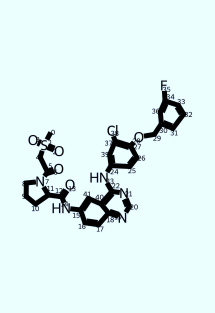 CS(=O)(=O)CC(=O)N1CCCC1C(=O)Nc1ccc2ncnc(Nc3ccc(OCc4cccc(F)c4)c(Cl)c3)c2c1